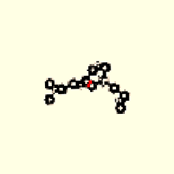 c1ccc(-c2nc(-c3ccc(-c4cccc5c4oc4ccccc45)cc3)nc(-c3cccc4oc5ccc(-c6ccc7sc8cc(-c9ccc%10c(c9)c9ccccc9n%10-c9ccccc9)ccc8c7c6)cc5c34)n2)cc1